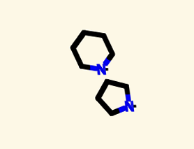 C1CC[N]C1.C1CC[N]CC1